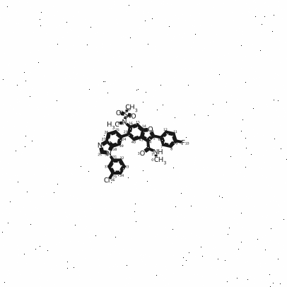 CNC(=O)c1c(-c2ccc(F)cc2)oc2cc(N(C)S(C)(=O)=O)c(-c3ccc4ncn(-c5cccc(Cl)c5)c4c3)cc12